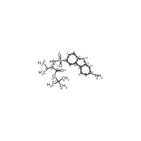 CC(C)[C@@H](NS(=O)(=O)c1ccc2sc3cc(N)ccc3c2c1)C(=O)OC(C)(C)C